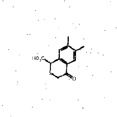 Cc1cc2c(cc1C)C(C(=O)O)SCC2=O